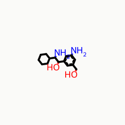 Nc1cc(CO)cc(C(O)C(N)C2CCCCC2)c1